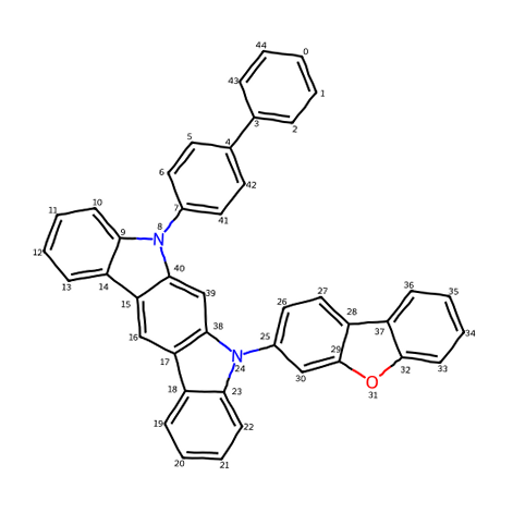 c1ccc(-c2ccc(-n3c4ccccc4c4cc5c6ccccc6n(-c6ccc7c(c6)oc6ccccc67)c5cc43)cc2)cc1